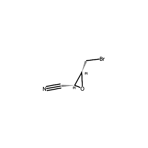 N#C[C@H]1O[C@H]1CBr